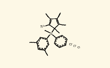 CC1=C(C)C(C)([Si](C)(c2ccccc2)c2cc(C)cc(C)c2)[C]([Ti+3])=C1C.[Cl-].[Cl-].[Cl-]